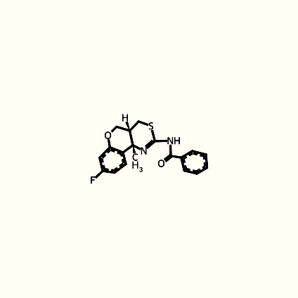 C[C@]12N=C(NC(=O)c3ccccc3)SC[C@H]1COc1cc(F)ccc12